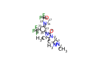 CCn1cc(Cn2c(C)c(C)n(-c3cc(N4CCOC(F)(F)C4)cc(C(F)(F)F)c3)c2=O)cn1